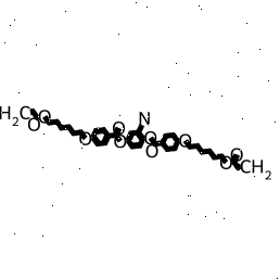 C=CC(=O)OCCCCCCOc1ccc(C(=O)Oc2ccc(OC(=O)C3CCC(OCCCCCCOC(=O)C=C)CC3)c(C#N)c2)cc1